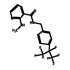 CNc1ncccc1C(=O)NCc1ccc(C(F)(C(F)(F)F)C(F)(F)F)cc1